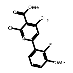 COC(=O)c1c(C)cc(-c2cccc(OC)c2F)nc1Cl